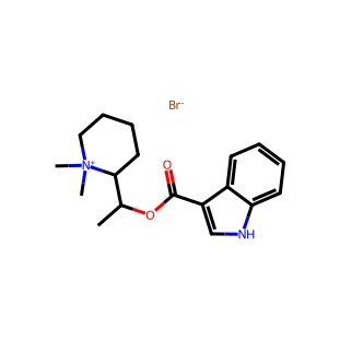 CC(OC(=O)c1c[nH]c2ccccc12)C1CCCC[N+]1(C)C.[Br-]